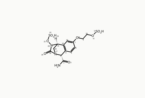 NC(=O)[C@H]1c2ccc(OCCOS(=O)(=O)O)cc2[C@H]2CN1C(=O)N2OS(=O)(=O)O